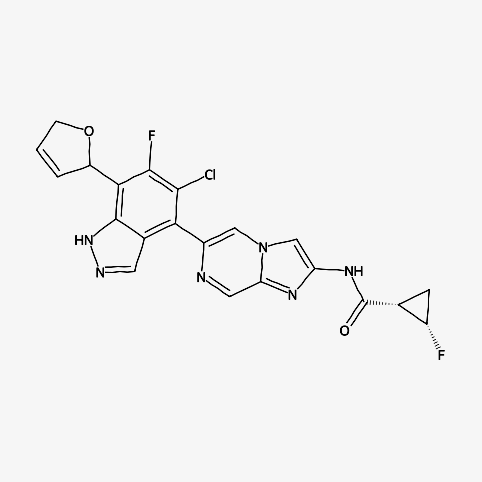 O=C(Nc1cn2cc(-c3c(Cl)c(F)c(C4C=CCO4)c4[nH]ncc34)ncc2n1)[C@@H]1C[C@@H]1F